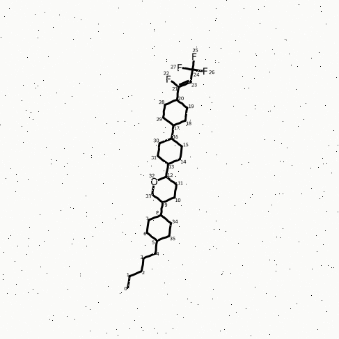 CCCCCC1CCC(C2CCC(C3CCC(C4CCC(/C(F)=C/C(F)(F)F)CC4)CC3)OC2)CC1